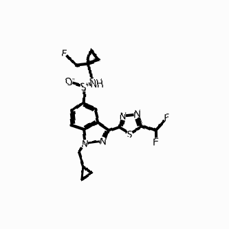 [O-][S+](NC1(CF)CC1)c1ccc2c(c1)c(-c1nnc(C(F)F)s1)nn2CC1CC1